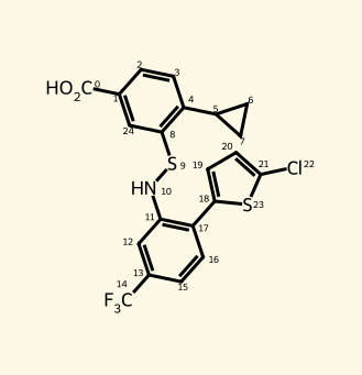 O=C(O)c1ccc(C2CC2)c(SNc2cc(C(F)(F)F)ccc2-c2ccc(Cl)s2)c1